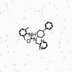 Cc1cccc(C)c1NC(=O)N(Cc1ncccn1)[C@H]1CC[C@H](c2ccccc2)CC1